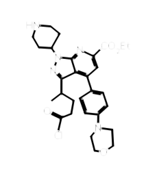 CCOC(=O)c1cc(-c2ccc(N3CCOCC3)cc2)c2c(C(C)CCC(=O)Cl)nn(C3CCNCC3)c2n1